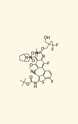 COc1c(F)c(-c2ccc(F)c3sc(NC(=O)OC(C)(C)C)c(C#N)c23)c(F)c2nc(OCC3(CO)CC3(F)F)nc(N3CC4CCC(C3)N4C(=O)OC(C)(C)C)c12